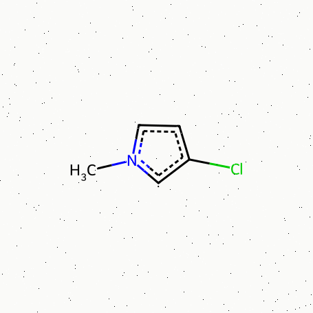 Cn1[c]c(Cl)cc1